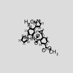 COC(=O)c1ccc(C2CC2)c(S(=O)(=O)Nc2cc(-c3ccnn3C)c(F)cc2-n2cccc2)c1